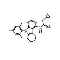 CCC(CC1CC1)Nc1ncnc2c1c1c(n2-c2c(C)cc(C)cc2C)CCCC1